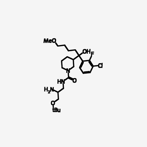 COCCCCC(O)(c1cccc(Cl)c1F)C1CCCN(C(=O)NCC(N)COC(C)(C)C)C1